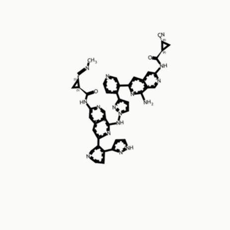 CN=C[C@H]1C[C@@H]1C(=O)Nc1cc2cc(-c3cnccc3-c3cc[nH]n3)nc(Nn3ccc(-c4ccncc4-c4cc5cc(NC(=O)[C@@H]6C[C@H]6C#N)ncc5c(N)n4)n3)c2cn1